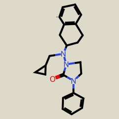 O=C1N(c2ccccc2)CCN1N(CC1CC1)C1CCc2ccc[c]c2C1